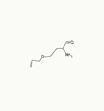 C=CCOCCC(N)C=O